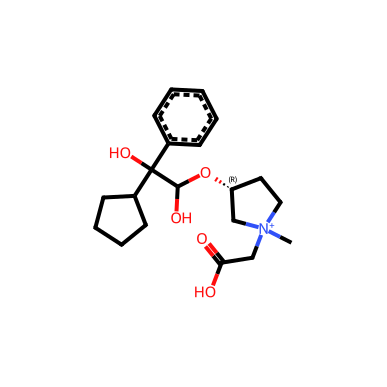 C[N+]1(CC(=O)O)CC[C@@H](OC(O)C(O)(c2ccccc2)C2CCCC2)C1